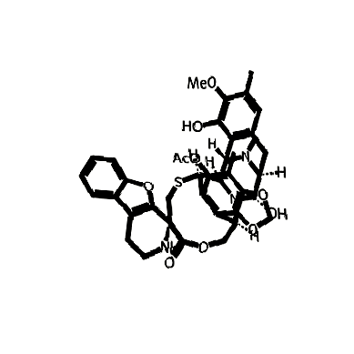 COc1c(C)cc2c(c1O)[C@H]1[C@@H]3[C@@H]4SC[C@]5(NCCc6c5oc5ccccc65)C(=O)OC[C@@H](c5c6c(c(C)c(OC(C)=O)c54)OCO6)N3[C@@H](O)[C@H](C2)N1C